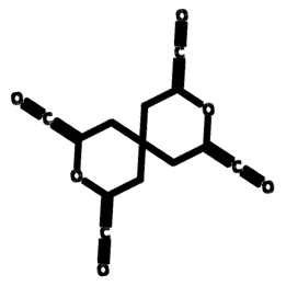 O=C=C1CC2(CC(=C=O)O1)CC(=C=O)OC(=C=O)C2